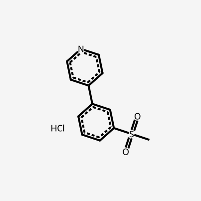 CS(=O)(=O)c1cccc(-c2ccncc2)c1.Cl